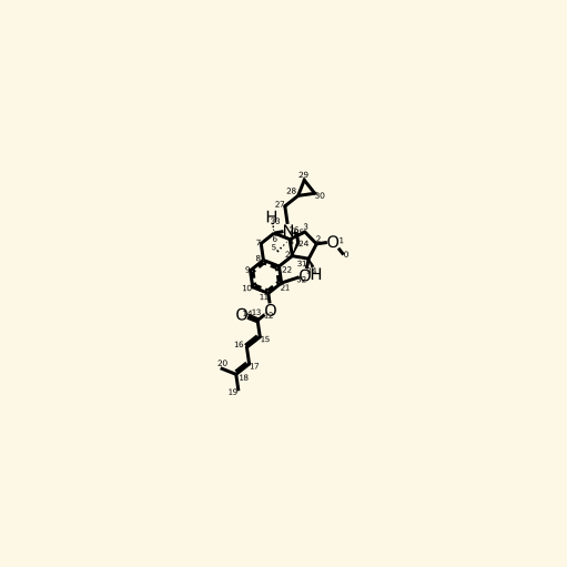 COC1C[C@]2(C)[C@H]3Cc4ccc(OC(=O)/C=C/C=C(C)C)c5c4[C@@]2(CCN3CC2CC2)[C@H]1O5